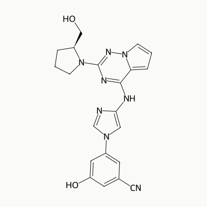 N#Cc1cc(O)cc(-n2cnc(Nc3nc(N4CCC[C@H]4CO)nn4cccc34)c2)c1